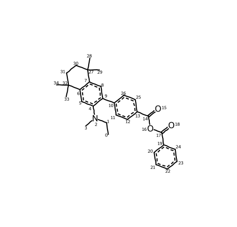 CCN(C)c1cc2c(cc1-c1ccc(C(=O)OC(=O)c3ccccc3)cc1)C(C)(C)CCC2(C)C